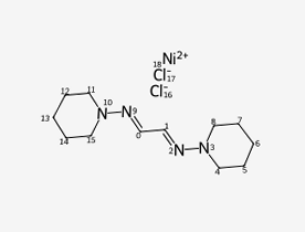 C(C=NN1CCCCC1)=NN1CCCCC1.[Cl-].[Cl-].[Ni+2]